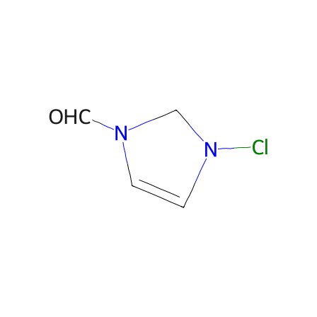 O=CN1C=CN(Cl)C1